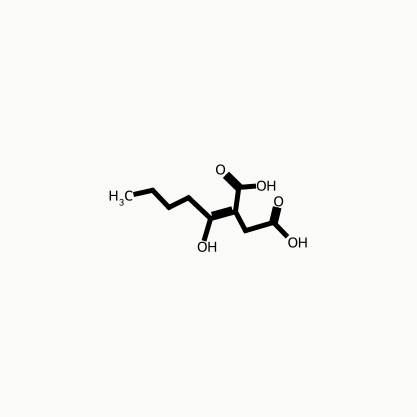 CCCCC(O)=C(CC(=O)O)C(=O)O